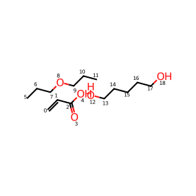 C=CC(=O)O.CCCOCCC.OCCCCCO